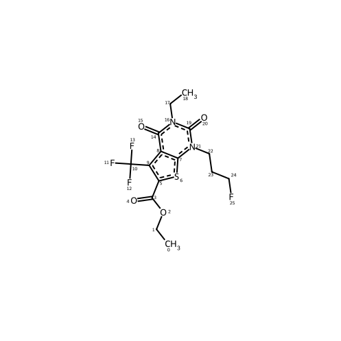 CCOC(=O)c1sc2c(c1C(F)(F)F)c(=O)n(CC)c(=O)n2CCCF